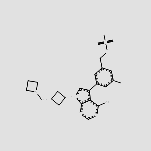 CS(=O)(=O)NCc1cc(Cl)cc(-c2cn([C@H]3C[C@@H](CN4CCC4)C3)c3ncnc(N)c23)c1